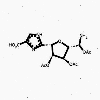 CC(=O)OC(N)[C@H]1O[C@@H](c2nc(C(=O)O)c[nH]2)[C@H](OC(C)=O)[C@@H]1OC(C)=O